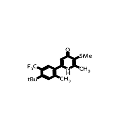 CSc1c(C)[nH]c(-c2cc(C(F)(F)F)c(C(C)(C)C)cc2C)cc1=O